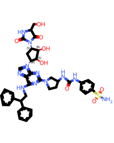 NS(=O)(=O)c1ccc(NC(=O)NC2CCN(c3nc(NCC(c4ccccc4)c4ccccc4)c4ncn([C@@H]5C[C@H](N6C(=O)NC(CO)C6=O)[C@@H](O)[C@H]5O)c4n3)C2)cc1